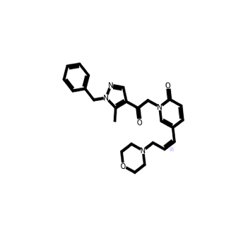 Cc1c(C(=O)Cn2cc(/C=C\CN3CCOCC3)ccc2=O)cnn1Cc1ccccc1